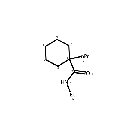 CCCC1(C(=O)NCC)CCCCC1